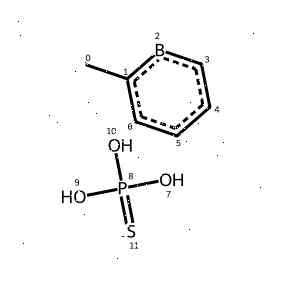 Cc1bcccc1.OP(O)(O)=S